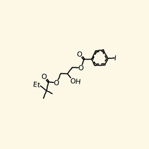 CCC(C)(C)C(=O)OCC(O)COC(=O)c1ccc(I)cc1